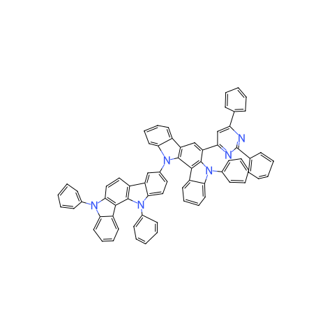 c1ccc(-c2cc(-c3cc4c5ccccc5n(-c5ccc6c(c5)c5ccc7c(c8ccccc8n7-c7ccccc7)c5n6-c5ccccc5)c4c4c5ccccc5n(-c5ccccc5)c34)nc(-c3ccccc3)n2)cc1